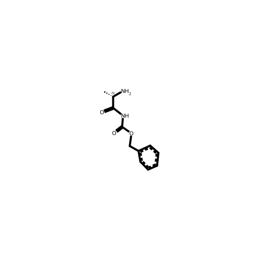 C[C@H](N)C(=O)NC(=O)OCc1ccccc1